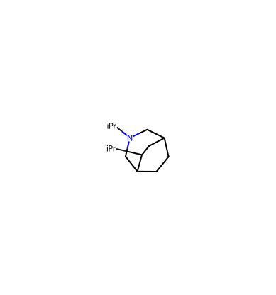 CC(C)C1CC2CCC1CN(C(C)C)C2